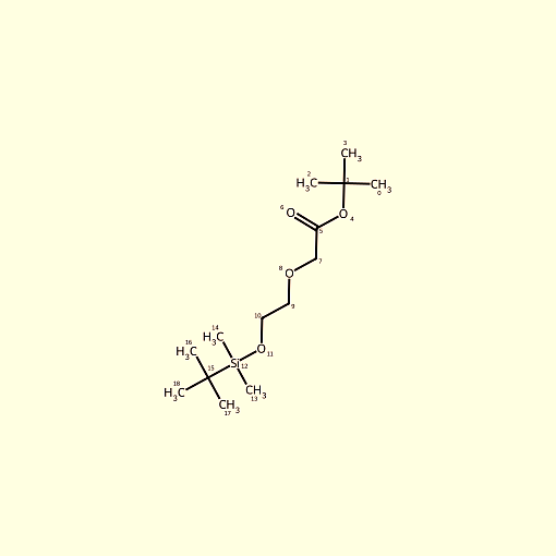 CC(C)(C)OC(=O)COCCO[Si](C)(C)C(C)(C)C